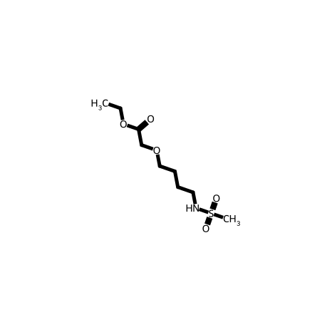 CCOC(=O)COCCCCNS(C)(=O)=O